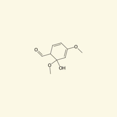 COC1=CC(O)(OC)C(C=O)C=C1